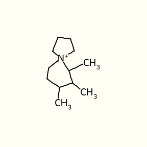 CC1CC[N+]2(CCCC2)C(C)C1C